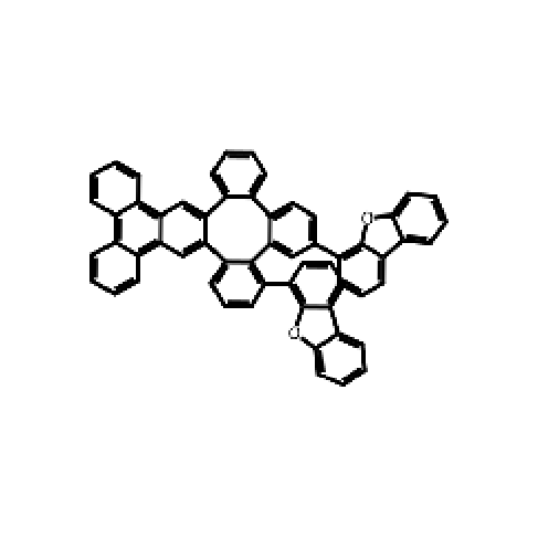 c1ccc2c(c1)-c1cc3c4ccccc4c4ccccc4c3cc1-c1cccc(-c3cccc4c3oc3ccccc34)c1-c1cc(-c3cccc4c3oc3ccccc34)ccc1-2